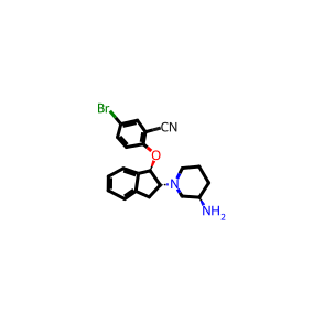 N#Cc1cc(Br)ccc1O[C@@H]1c2ccccc2C[C@H]1N1CCC[C@@H](N)C1